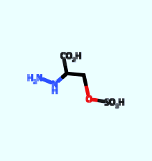 NNC(COS(=O)(=O)O)C(=O)O